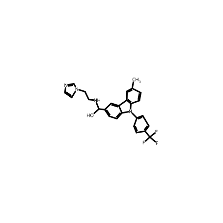 Cc1ccc2c(c1)c1cc(C(O)NCCn3ccnc3)ccc1n2-c1ccc(C(F)(F)F)cc1